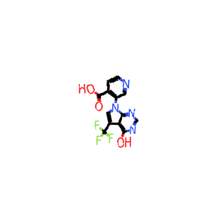 O=C(O)c1ccncc1-n1cc(C(F)(F)F)c2c(O)ncnc21